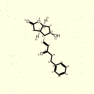 O=C(/C=C/[C@@H]1[C@H]2CC(=O)O[C@H]2C[C@H]1O)CCc1ccccc1